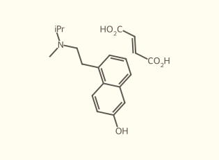 CC(C)N(C)CCc1cccc2cc(O)ccc12.O=C(O)/C=C/C(=O)O